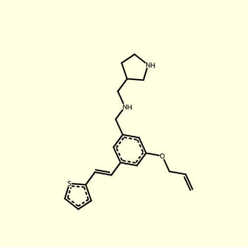 C=CCOc1cc(/C=C/c2cccs2)cc(CNCC2CCNC2)c1